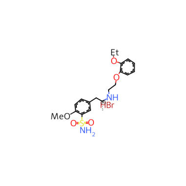 Br.CCOc1ccccc1OCCN[C@H](C)Cc1ccc(OC)c(S(N)(=O)=O)c1